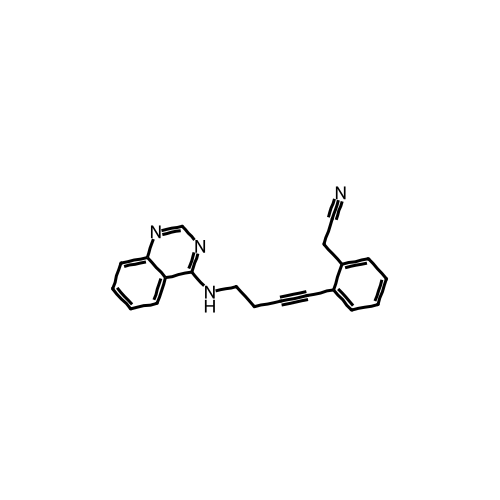 N#CCc1ccccc1C#CCCNc1ncnc2ccccc12